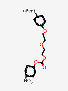 CCCCCc1ccc(OCCOCCOC(=O)Oc2ccc([N+](=O)[O-])cc2)cc1